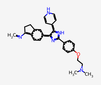 C=NC1=c2cc/c(=c3\nc(-c4ccc(OCCN(C)C)cc4)[nH]c3=C3C=CNC=C3)cc2CC1